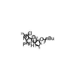 CCCCC(C)Oc1cccc(NC(=O)c2c(C(F)F)nn(C)c2Cl)c1C